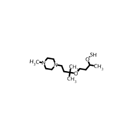 CC(CCOC(C)(C)CCN1CCN(C)CC1)OS